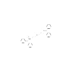 O=C(O[SiH2]CCC[SiH2]OC(=O)C(c1ccccc1)c1ccccc1)C(c1ccccc1)c1ccccc1